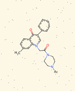 CC(=O)N1CCN(C(=O)Cn2cc(-c3ccccc3)c(=O)c3ccc(C)cc32)CC1